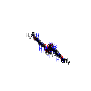 C[C@@H](NC(=O)CNCCNC(=O)c1ccc(-c2nc3cc(-c4ccc5[nH]c(-c6ccc(OCCCN(C)C)cc6)nc5c4)ccc3[nH]2)cc1)C(=O)N[C@H](C)C(=O)N[C@H](C)C(=O)N[C@H](C)C(=O)N(CCNC(=O)c1ccc(-c2nc3cc(-c4ccc5[nH]c(-c6ccc(OCCCN(C)C)cc6)nc5c4)ccc3[nH]2)cc1)CC(N)=O